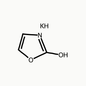 Oc1ncco1.[KH]